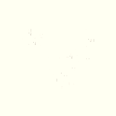 CC(CO)(Cc1c[nH]c2ccccc12)NC(=O)c1cc(-c2ccc(N3CCNC3=O)cc2)ccc1OC(F)(F)F